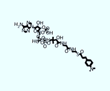 CN(C)c1ccc(C=CC(=O)SCCNC(=O)CCNC(=O)C(O)C(C)(C)COP(=O)(O)OP(=O)(O)OC[C@H]2O[C@@H](n3cnc4c(N)ncnc43)[C@H](O)[C@@H]2OP(=O)(O)O)cc1